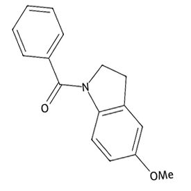 COc1ccc2c(c1)CCN2C(=O)c1ccccc1